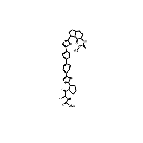 COC(=O)NC(C(=O)N1CCCC1c1ncc(-c2ccc(-c3ccc(-c4cnc(C5CCC6CCC(NC(=O)OC(C)(C)C)C(=O)N65)[nH]4)cc3)cc2)[nH]1)C(C)C